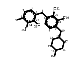 Cc1ccc(Cc2ccc(CC3CCC(C)CC3)c(F)c2F)c(F)c1F